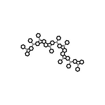 c1ccc(N(c2ccc3c4ccccc4n(-c4ccccc4)c3c2)c2ccc3c4c5ccc6c(c5ccc4n(-c4ccccc4)c3c2)c2ccc(N(c3ccccc3)c3ccc4c5c7ccc8c(c7ccc5n(-c5ccccc5)c4c3)c3ccc(N(c4ccccc4)c4ccc5c7ccccc7n(-c7ccccc7)c5c4)cc3n8-c3ccccc3)cc2n6-c2ccccc2)cc1